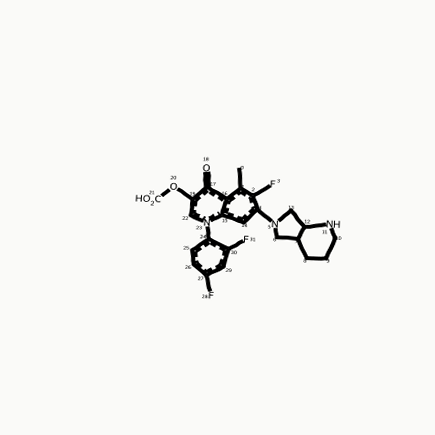 Cc1c(F)c(N2CC3CCCNC3C2)cc2c1c(=O)c(OC(=O)O)cn2-c1ccc(F)cc1F